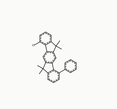 CC1(C)c2cc3c(cc2-c2c(Cl)cccc21)C(C)(C)c1cccc(-c2ccccc2)c1-3